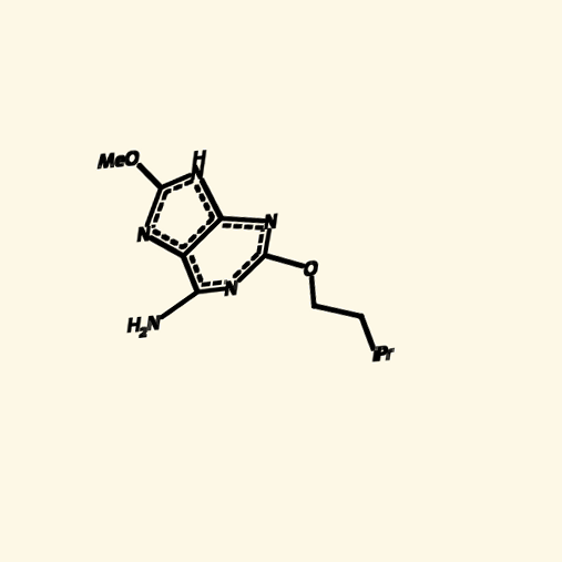 COc1nc2c(N)nc(OCCC(C)C)nc2[nH]1